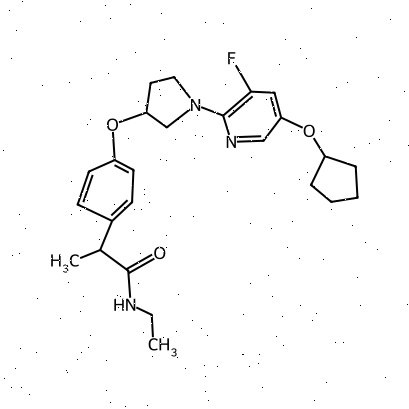 CCNC(=O)C(C)c1ccc(OC2CCN(c3ncc(OC4CCCC4)cc3F)C2)cc1